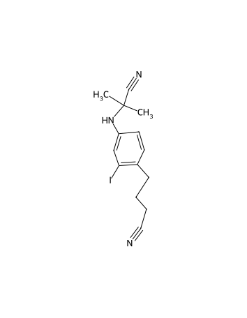 CC(C)(C#N)Nc1ccc(CCCC#N)c(I)c1